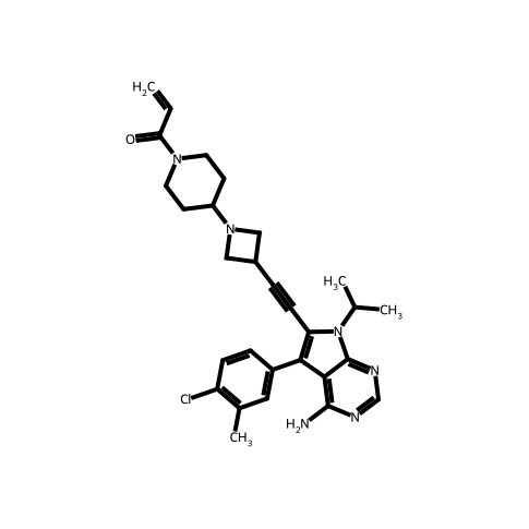 C=CC(=O)N1CCC(N2CC(C#Cc3c(-c4ccc(Cl)c(C)c4)c4c(N)ncnc4n3C(C)C)C2)CC1